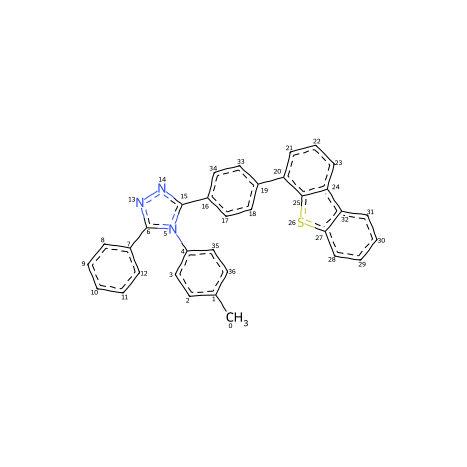 Cc1ccc(-n2c(-c3ccccc3)nnc2-c2ccc(-c3cccc4c3sc3ccccc34)cc2)cc1